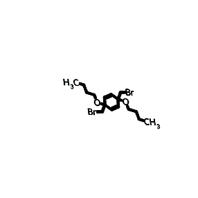 CCCCOC1(CBr)C=CC(CBr)(OCCCC)C=C1